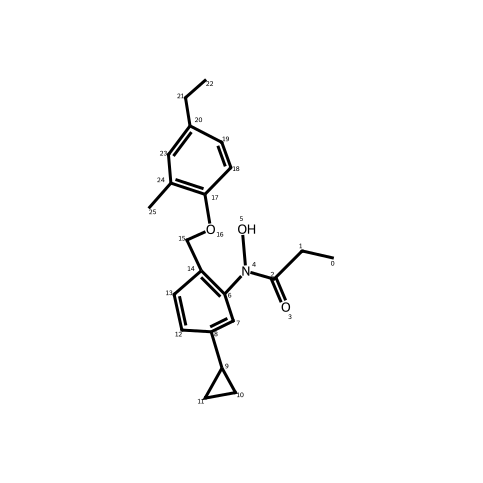 CCC(=O)N(O)c1cc(C2CC2)ccc1COc1ccc(CC)cc1C